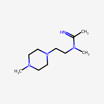 CC(=N)N(C)CCN1CCN(C)CC1